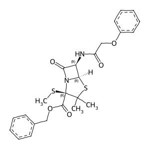 CS[C@@]1(C(=O)OCc2ccccc2)N2C(=O)[C@@H](NC(=O)COc3ccccc3)[C@H]2SC1(C)C